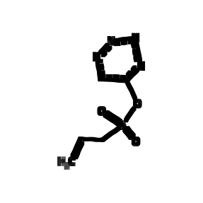 C=CCS(=O)(=O)Oc1cnnnn1